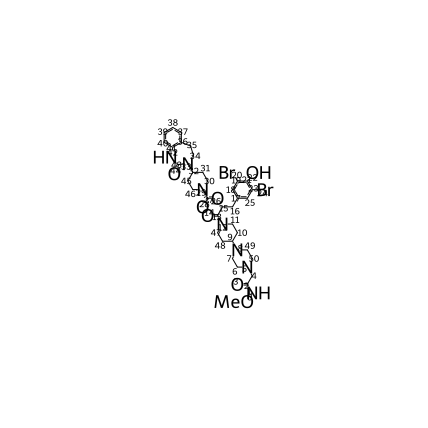 CONC(=O)CN1CCN(C2CCN(C(=O)C(Cc3cc(Br)c(O)c(Br)c3)OC(=O)N3CCC(N4CCc5ccccc5NC4=O)CC3)CC2)CC1